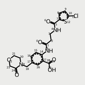 O=C(CCNC(=O)c1ccc(Cl)s1)Nc1ccc(CN2CCOCC2=O)cc1C(=O)O